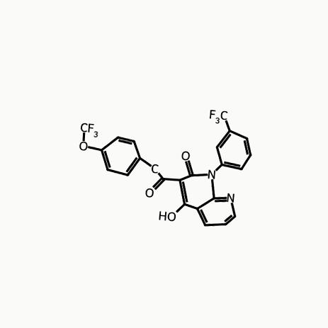 O=C(Cc1ccc(OC(F)(F)F)cc1)c1c(O)c2cccnc2n(-c2cccc(C(F)(F)F)c2)c1=O